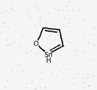 C1=C[O][SnH]=[CH]1